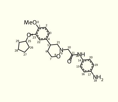 COc1ccc(C2CCON(CC(=O)Nc3ccc(N)cc3)C2)cc1OC1CCCC1